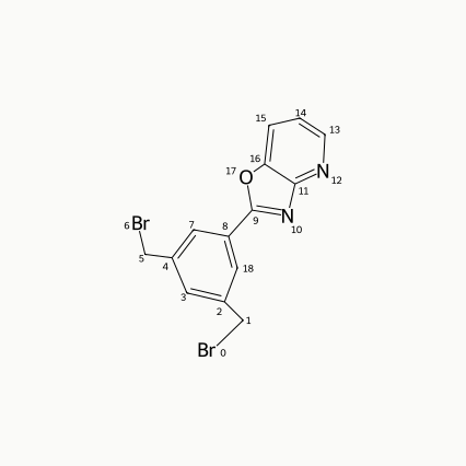 BrCc1cc(CBr)cc(-c2nc3ncccc3o2)c1